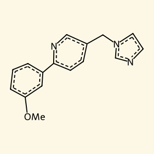 COc1cccc(-c2ccc(Cn3ccnc3)cn2)c1